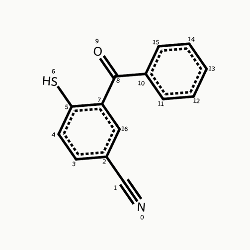 N#Cc1ccc(S)c(C(=O)c2ccccc2)c1